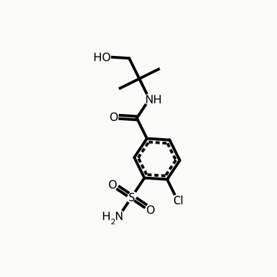 CC(C)(CO)NC(=O)c1ccc(Cl)c(S(N)(=O)=O)c1